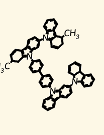 CC1C=Cc2c(n(-c3ccc(-c4ccc(-n5c6ccccc6c6ccc(N7c8ccccc8C8C=CC=CC87)cc65)cc4)cc3)c3cc(-n4c5c(c6ccccc64)C(C)CC=C5)ccc23)C1